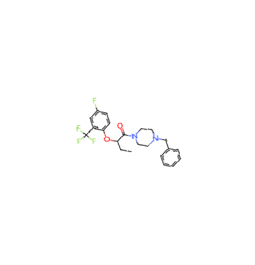 CCC(Oc1ccc(F)cc1C(F)(F)F)C(=O)N1CCN(Cc2ccccc2)CC1